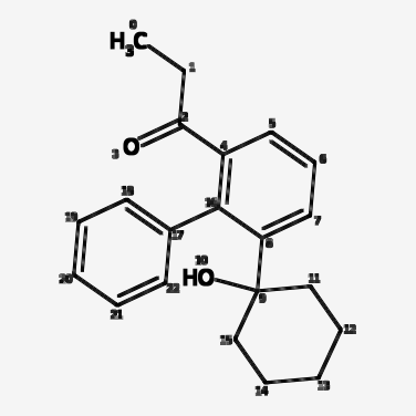 CCC(=O)c1cccc(C2(O)CCCCC2)c1-c1ccccc1